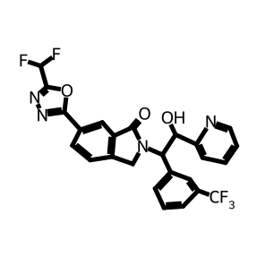 O=C1c2cc(-c3nnc(C(F)F)o3)ccc2CN1C(c1cccc(C(F)(F)F)c1)C(O)c1ccccn1